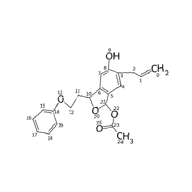 C=CCc1cc2c(cc1O)C(CCOc1ccccc1)OC2OC(C)=O